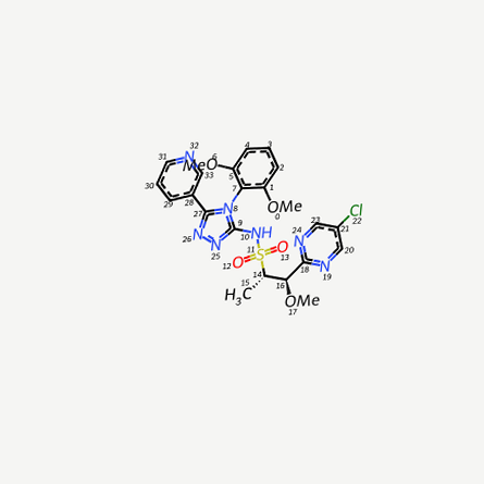 COc1cccc(OC)c1-n1c(NS(=O)(=O)[C@@H](C)[C@H](OC)c2ncc(Cl)cn2)nnc1-c1cccnc1